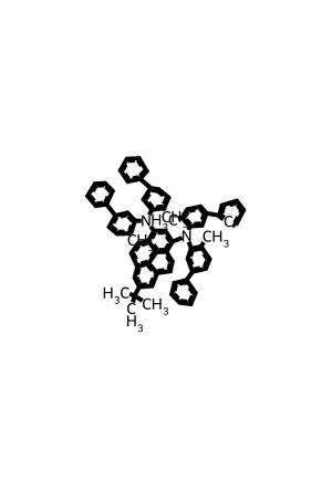 Cc1ccc(-c2ccccc2)cc1N(c1cc(-c2ccccc2)ccc1C)c1cc(N(c2cc(-c3ccccc3)ccc2C)c2cc(-c3ccccc3)ccc2C)c2ccc3cc(C(C)(C)C)cc4ccc1c2c43